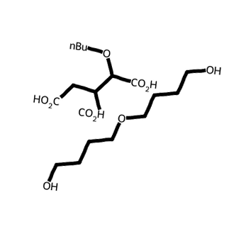 CCCCOC(C(=O)O)C(CC(=O)O)C(=O)O.OCCCCOCCCCO